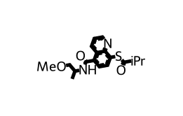 COCC(C)NC(=O)c1ccc(SC(=O)C(C)C)c2ncccc12